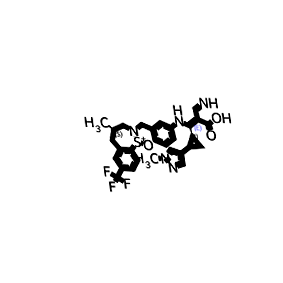 C[C@H]1Cc2cc(C(F)(F)F)ccc2[S+]([O-])N(Cc2cccc(N/C(=C(\C=N)C(=O)O)[C@@H]3CC3c3cnn(C)c3)c2)C1